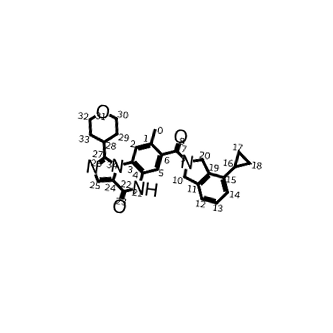 Cc1cc2c(cc1C(=O)N1Cc3cccc(C4CC4)c3C1)[nH]c(=O)c1cnc(C3CCOCC3)n12